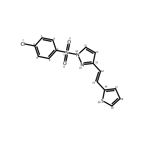 O=S(=O)(c1ccc(Cl)cc1)n1ccc(C=Cc2cccs2)n1